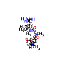 CN(CCNC(=O)[C@H](CCCNC(=N)N)NC(=O)C(C)(C)C)C(=O)Oc1ccc2c3c1OC1C(=O)CCC4[C@@H](C2)N(C)CC[C@]314